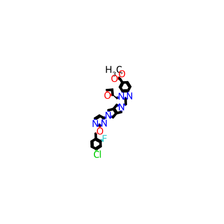 COC(=O)c1ccc2nc(CN3CC4=C(C3)CN(c3ccnc(OCc5ccc(Cl)cc5F)n3)C4)n(C[C@@H]3CCO3)c2c1